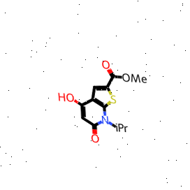 COC(=O)c1cc2c(O)cc(=O)n(C(C)C)c2s1